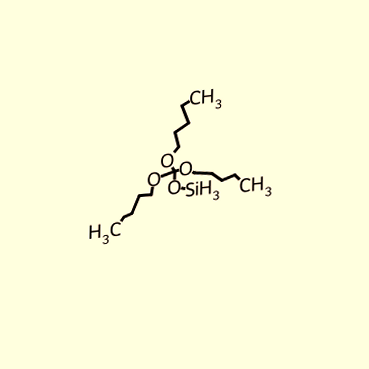 CCCCCOC(O[SiH3])(OCCCCC)OCCCCC